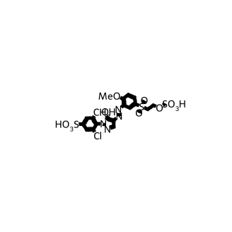 COc1ccc(S(=O)(=O)CCOS(=O)(=O)O)cc1/N=N/c1cnn(-c2c(C)cc(S(=O)(=O)O)cc2Cl)c1O